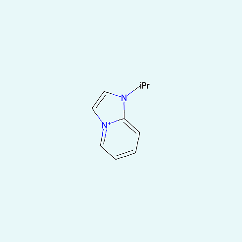 CC(C)n1cc[n+]2ccccc12